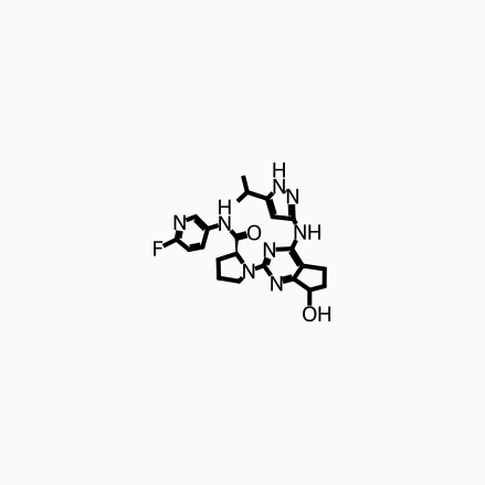 CC(C)c1cc(Nc2nc(N3CCC[C@H]3C(=O)Nc3ccc(F)nc3)nc3c2CCC3O)n[nH]1